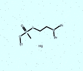 CCOP(C)(=O)SCCN(C(C)C)C(C)C.[Hg]